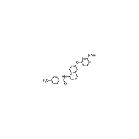 CNc1nccc(Oc2ccc3c(NC(=O)c4ccc(C(F)(F)F)cc4)cccc3c2)n1